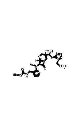 CC(=O)N(c1sccc1CNC(=O)OC(C)(C)C)C1C(=O)N2CC(CSc3nnnn3CC(=O)O)(C(=O)O)CS[C@H]12